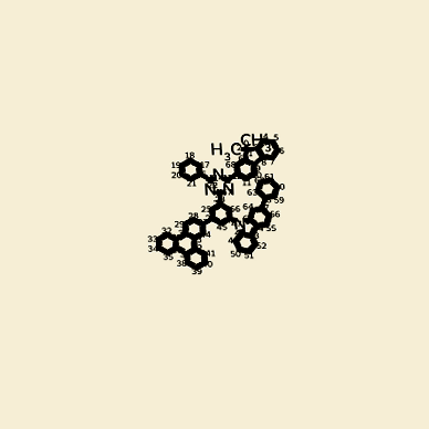 CC1(C)c2ccccc2-c2ccc(-c3nc(-c4ccccc4)nc(-c4cc(-c5ccc6c7ccccc7c7ccccc7c6c5)cc(-n5c6ccccc6c6ccc(-c7ccccc7)cc65)c4)n3)cc21